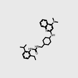 CCc1cccc(C(C)C)c1NC(=O)NCC1CCC(Nc2cc(N(C)C)c3ccccc3n2)CC1